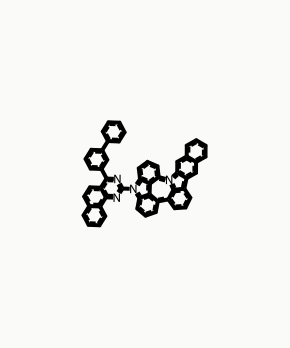 c1ccc(-c2cccc(-c3nc(-n4c5cccc6c7cccc8c9cc%10ccccc%10cc9n(c9cccc4c9c65)c78)nc4c3ccc3ccccc34)c2)cc1